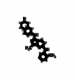 Cc1ccccc1Nc1ncc2c(Nc3ccc4c(c3)CNCC4)nn(C)c2n1